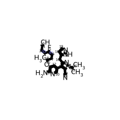 C#C/C=C\C(F)=C/CC(C)Oc1cc(-c2c(Cc3ccn[nH]3)nn(C(C)C)c2C#N)cnc1N